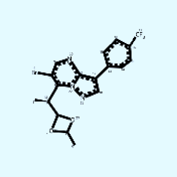 CC1OC([C@@H](C)c2c(Br)cnc3c(-c4ccc(C(F)(F)F)cc4)cnn23)O1